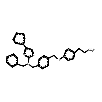 O=C(O)CCc1ccc(OCc2ccc(CN(Cc3ccccc3)c3nc(-c4ccccc4)cs3)cc2)cc1